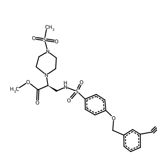 COC(=O)[C@H](CNS(=O)(=O)c1ccc(OCc2cccc(C#N)c2)cc1)N1CCN(S(C)(=O)=O)CC1